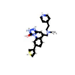 CN(CCc1ccncc1)Cc1cc2n[nH]c(=O)n2c2cc(-c3ccsc3)ccc12